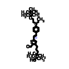 CCN(CCO[Si](C)(C)C(C)(C)C)c1ccc(/C=C/c2cc(CCCC(C)(C)[Si](C)(C)O)c(C=O)s2)cc1